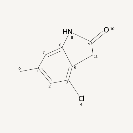 Cc1cc(Cl)c2c(c1)NC(=O)C2